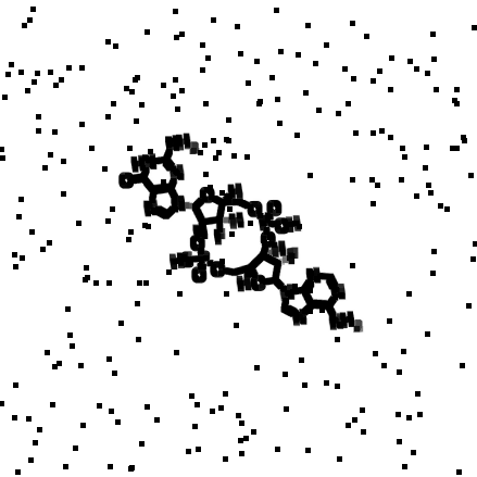 Nc1nc2c(ncn2[C@@H]2O[C@@H]3COP(=O)(O)O[C@H]4[C@H](F)C(n5cnc6c(N)ncnc65)O[C@@H]4COP(=O)(S)O[C@H]2[C@@H]3F)c(=O)[nH]1